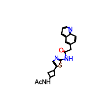 CC(=O)NC1CC(c2cnc(NC(=O)Cc3ccc4ncccc4c3)s2)C1